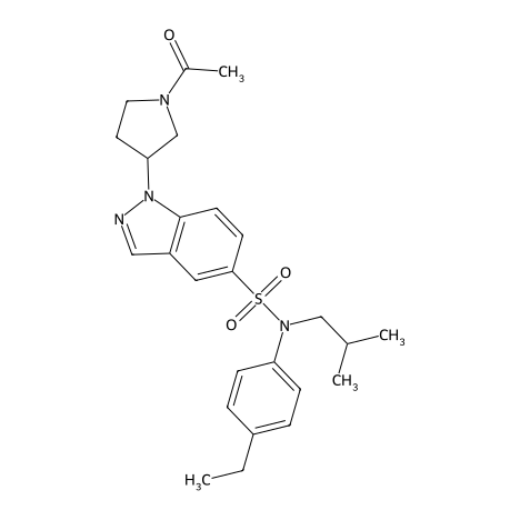 CCc1ccc(N(CC(C)C)S(=O)(=O)c2ccc3c(cnn3C3CCN(C(C)=O)C3)c2)cc1